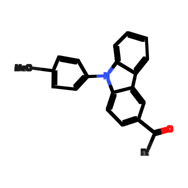 CCC(=O)c1ccc2c(c1)c1ccccc1n2-c1ccc(OC)cc1